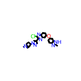 Cc1nc2ccc(Oc3ccc4nc(Cl)c(-c5cnn(C6CC7CC6CN7C)c5)nc4c3)cc2[nH]1